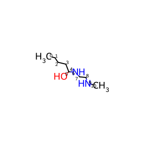 CCCCC(O)NCCNC